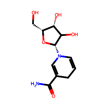 NC(=O)C1=CN([C@@H]2O[C@H](CO)[C@H](O)C2O)C=CC1